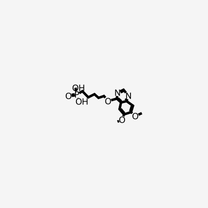 COc1cc2ncnc(OCCCCCP(=O)(O)O)c2cc1OC